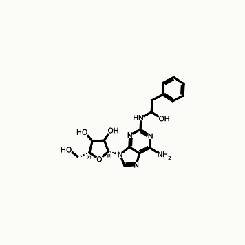 Nc1nc(NC(O)Cc2ccccc2)nc2c1ncn2[C@@H]1O[C@H](CO)C(O)C1O